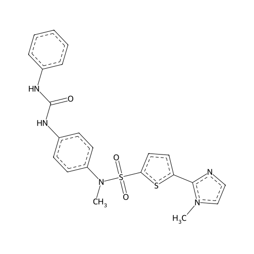 CN(c1ccc(NC(=O)Nc2ccccc2)cc1)S(=O)(=O)c1ccc(-c2nccn2C)s1